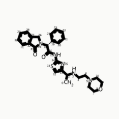 CC(NCCN1CCOCC1)c1csc(NC(=O)[C@@H](c2ccccc2)N2Cc3ccccc3C2=O)n1